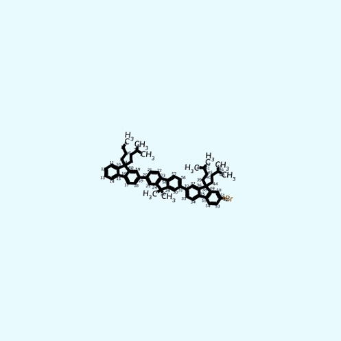 CCCCC1(CCC(C)C)c2ccccc2-c2ccc(-c3ccc4c(c3)C(C)(C)c3cc(-c5ccc6c(c5)C(CCC(C)C)(CCC(C)C)c5cc(Br)ccc5-6)ccc3-4)cc21